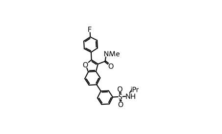 CNC(=O)c1c(-c2ccc(F)cc2)oc2ccc(-c3cccc(S(=O)(=O)NC(C)C)c3)cc12